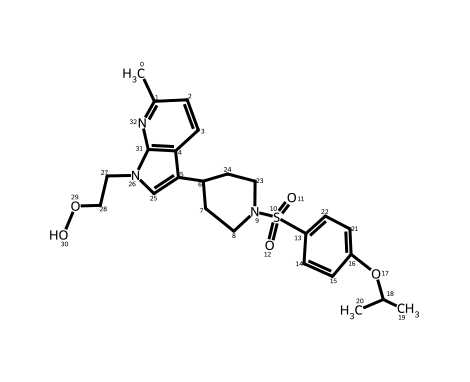 Cc1ccc2c(C3CCN(S(=O)(=O)c4ccc(OC(C)C)cc4)CC3)cn(CCOO)c2n1